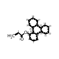 C=CC(=O)Oc1cccc2c3ccccc3c3ccccc3c12